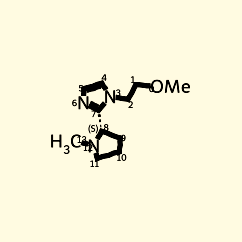 COCCn1ccnc1[C@@H]1CCCN1C